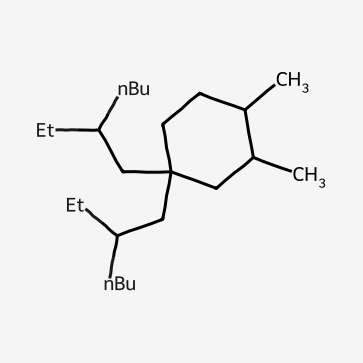 CCCCC(CC)CC1(CC(CC)CCCC)CCC(C)C(C)C1